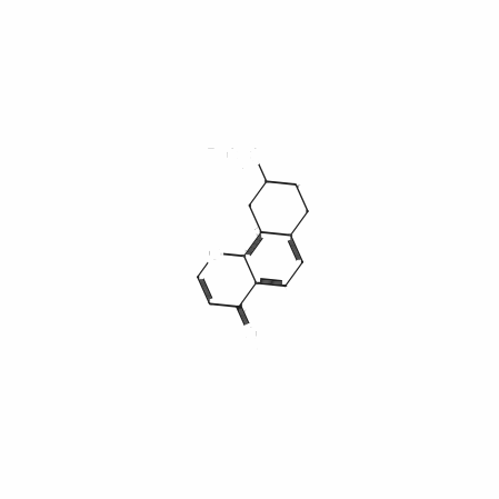 CCOC(=O)C1CCc2ccc3c(=O)ccoc3c2C1